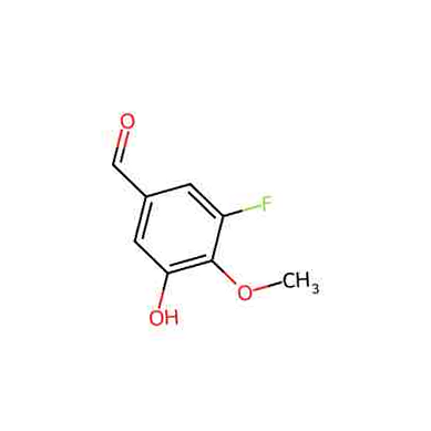 COc1c(O)cc(C=O)cc1F